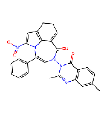 Cc1ccc2c(=O)n(N3C=C(c4ccccc4)n4c([N+](=O)[O-])cc5c4C(=CCC5)C3=O)c(C)nc2c1